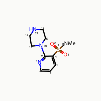 CNS(=O)(=O)c1cccnc1N1CCNCC1